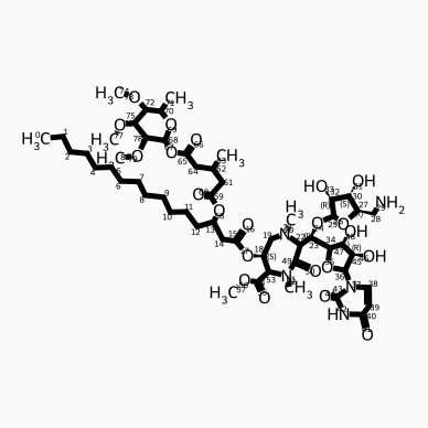 CCCCCCCCCCCCCC(CC(=O)O[C@H]1CN(C)C([C@@H](OC2O[C@H](CN)[C@@H](O)[C@H]2O)C2OC(n3ccc(=O)[nH]c3=O)[C@H](O)[C@@H]2O)C(=O)N(C)C1C(=O)OC)OC(=O)CC(C)CC(=O)OC1OC(C)C(OC)C(OC)C1OC